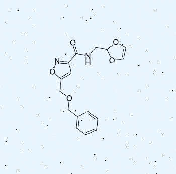 O=C(NCC1OC=CO1)c1cc(COCc2ccccc2)on1